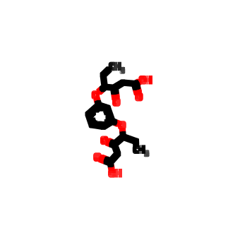 CCC(Oc1cccc(OC(CC)C(=O)CC(=O)O)c1)C(=O)CC(=O)O